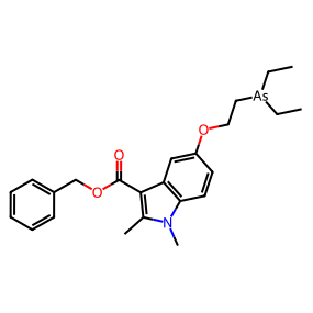 CC[As](CC)CCOc1ccc2c(c1)c(C(=O)OCc1ccccc1)c(C)n2C